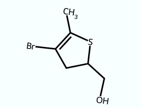 CC1=C(Br)CC(CO)S1